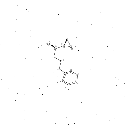 C[C@H](COCc1ccccc1)[C@H]1CO1